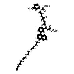 COC(=O)C[C@H](NC(=O)CNC(=O)CCCN(C(=O)OC(C)(C)C)c1cc(C)ccn1)c1cccc(-c2ccc(OCCOCCOCCOCCOCCN=[N+]=[N-])c3ccccc23)c1